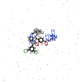 CC(C)(C)CCC(c1ccc(C(=O)NCc2nn[nH]n2)cc1)N1C(=O)C(c2cc(Cl)cc(Cl)c2)=NC12CCN(CCC(C)(C)C)C2